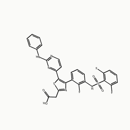 O=C(O)Cc1nc(-c2cccc(NS(=O)(=O)c3c(F)cccc3F)c2F)c(-c2ccnc(Nc3ccccc3)n2)s1